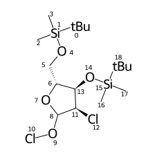 CC(C)(C)[Si](C)(C)OC[C@H]1OC(OCl)[C@H](Cl)[C@@H]1O[Si](C)(C)C(C)(C)C